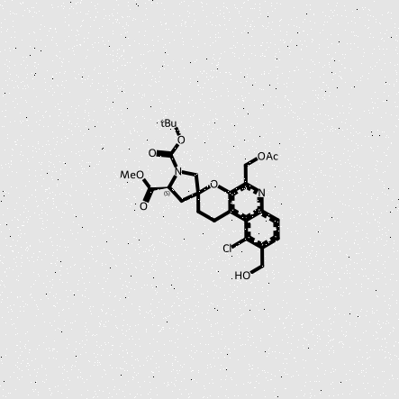 COC(=O)[C@@H]1CC2(CCc3c(c(COC(C)=O)nc4ccc(CO)c(Cl)c34)O2)CN1C(=O)OC(C)(C)C